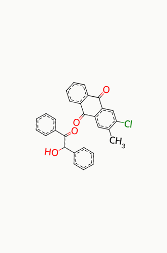 Cc1cc2c(cc1Cl)C(=O)c1ccccc1C2=O.O=C(c1ccccc1)C(O)c1ccccc1